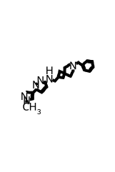 Cn1cc(-c2ccc(NCC3CC4(CCN(Cc5ccccc5)CC4)C3)nn2)cn1